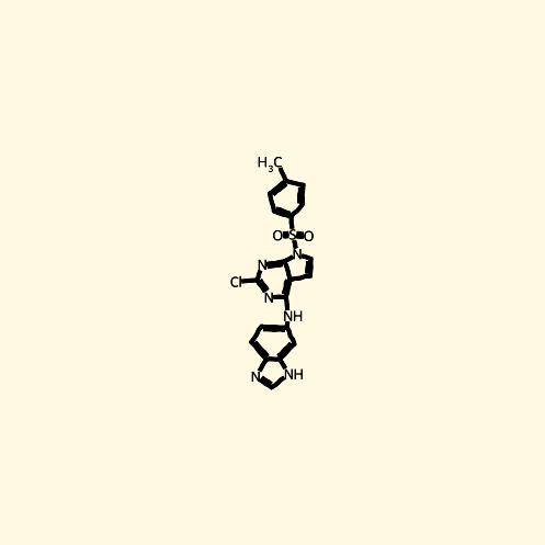 Cc1ccc(S(=O)(=O)n2ccc3c(Nc4ccc5nc[nH]c5c4)nc(Cl)nc32)cc1